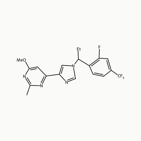 CCC(c1ccc(C(F)(F)F)cc1F)n1cnc(-c2cc(OC)nc(C)n2)c1